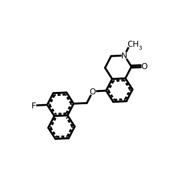 CN1CCc2c(OCc3ccc(F)c4ccccc34)cccc2C1=O